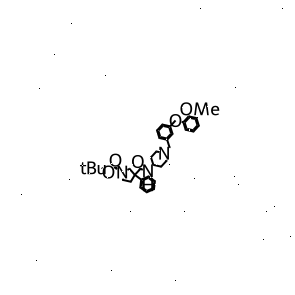 COc1ccccc1Oc1cccc(CN2CCC(NC(=O)C3(c4ccccc4)CCN(C(=O)OC(C)(C)C)C3)CC2)c1